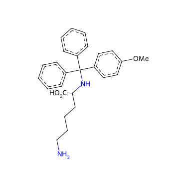 COc1ccc(C(NC(CCCCN)C(=O)O)(c2ccccc2)c2ccccc2)cc1